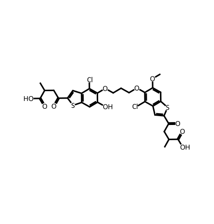 COc1cc2sc(C(=O)CC(C)C(=O)O)cc2c(Cl)c1OCCCOc1c(O)cc2sc(C(=O)CC(C)C(=O)O)cc2c1Cl